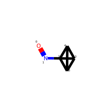 O=NC12C3C1C32